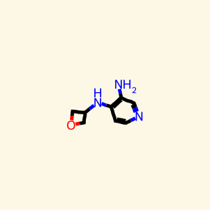 Nc1cnccc1NC1COC1